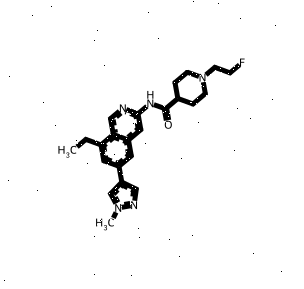 CCc1cc(-c2cnn(C)c2)cc2cc(NC(=O)C3CCN(CCF)CC3)ncc12